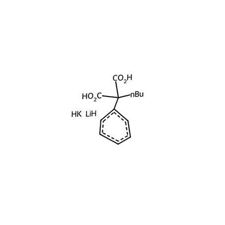 CCCCC(C(=O)O)(C(=O)O)c1ccccc1.[KH].[LiH]